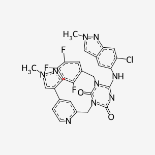 Cn1cc(-c2ccnc(Cn3c(=O)nc(Nc4cc5cn(C)nc5cc4Cl)n(Cc4cc(F)c(F)cc4F)c3=O)c2)cn1